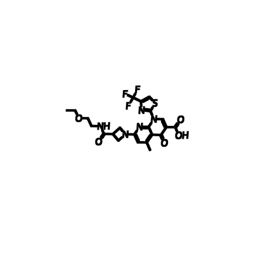 CCOCCNC(=O)C1CN(c2cc(C)c3c(=O)c(C(=O)O)cn(-c4nc(C(F)(F)F)cs4)c3n2)C1